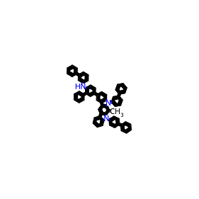 CC1c2c(c3cc(-c4ccc(Nc5cccc(-c6ccccc6)c5)c(-c5ccccc5)c4)ccc3n2-c2cccc(-c3ccccc3)c2)C=C2c3ccccc3N(c3ccc(-c4ccccc4)cc3)C21